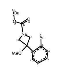 COC1(c2ccccc2C(C)=O)CN(C(=O)OC(C)(C)C)C1